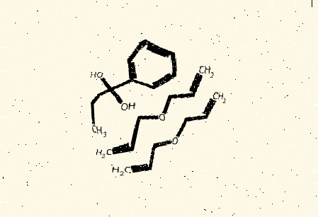 C=CCOCC=C.C=CCOCC=C.CCC(O)(O)c1ccccc1